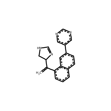 C=C(c1cccc2ccc(-c3cncnc3)cc12)C1CNC=N1